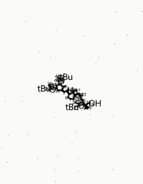 C=C1C(=CC=C2CCC[C@]3(C)[C@@H]([C@H](C)C=CC(O[Si](C)(C)C(C)(C)C)C4(CO)CC4)CC[C@@H]23)CC(O[Si](C)(C)C(C)(C)C)CC1O[Si](C)(C)C(C)(C)C